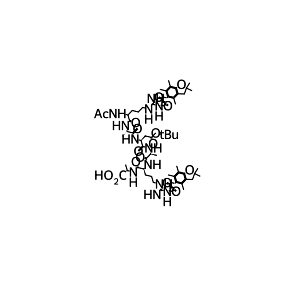 CC(=O)N[C@@H](CCCNC(=N)NS(=O)(=O)c1c(C)c(C)c2c(c1C)CC(C)(C)O2)C(=O)N[C@@H](C)C(=O)N[C@@H](CC(=O)OC(C)(C)C)C(=O)N[C@@H](C)C(=O)N[C@@H](CCCNC(=N)NS(=O)(=O)c1c(C)c(C)c2c(c1C)CC(C)(C)O2)C(=O)N[C@@H](C)C(=O)O